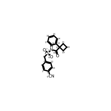 N#Cc1ccc(CS(=O)(=O)NC(=O)C2(c3ccccc3)CCC2)cc1